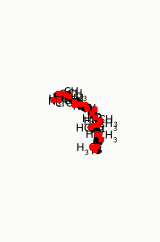 Cc1ncsc1-c1ccc([C@H](C)NC(=O)[C@@H]2C[C@@H](O)CN2C(=O)[C@@H](NC(=O)Cc2ccnc(N3CCN(c4ccc(C(=O)NC5C(C)(C)C(Oc6ccc(C#N)c(Cl)c6)C5(C)C)cn4)CC3)c2)C(C)(C)C)cc1